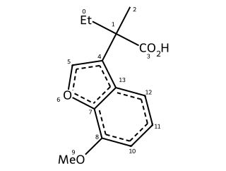 CCC(C)(C(=O)O)c1coc2c(OC)cccc12